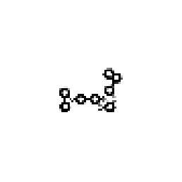 c1cc2c3c(c1)Oc1cc(-c4cccc5ccccc45)ccc1N3c1ccc(-c3ccc(-n4c5ccccc5c5ccccc54)cc3)cc1O2